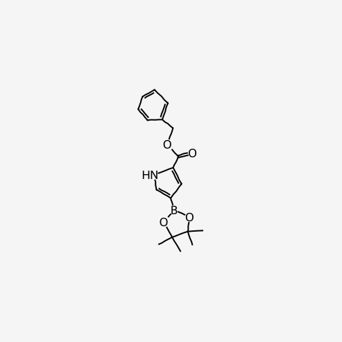 CC1(C)OB(c2c[nH]c(C(=O)OCc3ccccc3)c2)OC1(C)C